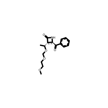 COCCOCOC(C)[C@@H]1C(=O)N[C@H]1C(=O)c1ccccc1